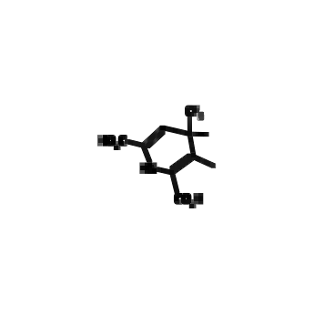 CC1=C(C(=O)O)NC(C(=O)O)=CC1(C)C(F)(F)F